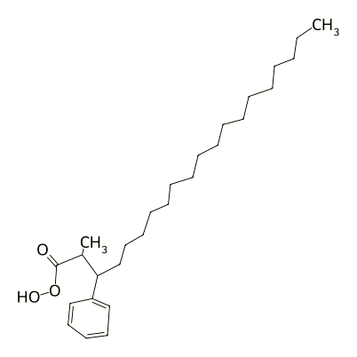 CCCCCCCCCCCCCCCCCC(c1ccccc1)C(C)C(=O)OO